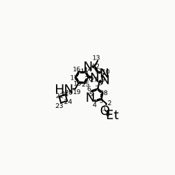 CCOCc1cncc(-c2nnc3c(C)nc4ccc(CNC5CCC5)cc4n23)c1